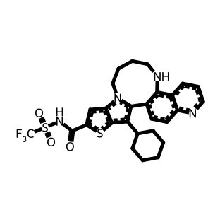 O=C(NS(=O)(=O)C(F)(F)F)c1cc2c(s1)c(C1CCCCC1)c1n2CCCCNc2c-1ccc1ncccc21